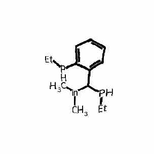 CCPc1ccccc1[CH](PCC)[In]([CH3])[CH3]